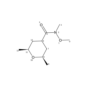 CON(C)C(=O)C1C[C@@H](C)O[C@@H](C)C1